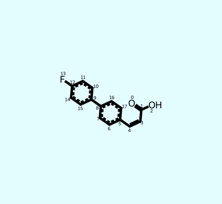 O=C(O)/C=C\c1ccc(-c2ccc(F)cc2)cc1